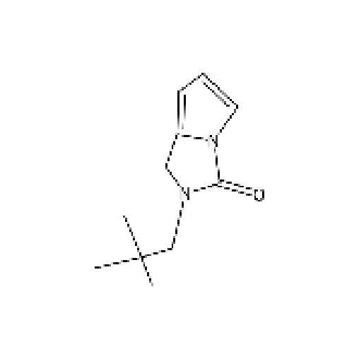 CC(C)(C)CN1Cc2cccn2C1=O